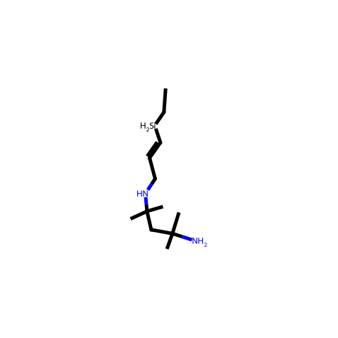 CC[SiH2]C=CCNC(C)(C)CC(C)(C)N